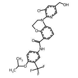 CC(C)Oc1ccc(NC(=O)c2cccc3c2OCCN3c2ncc(CO)cc2Cl)cc1C(F)(F)F